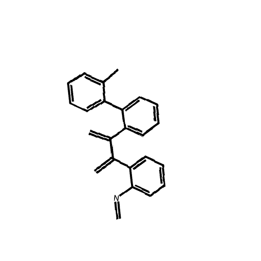 C=Nc1ccccc1C(=C)C(=C)c1ccccc1-c1ccccc1C